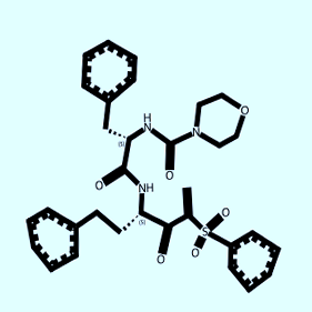 C=C(C(=O)[C@H](CCc1ccccc1)NC(=O)[C@H](Cc1ccccc1)NC(=O)N1CCOCC1)S(=O)(=O)c1ccccc1